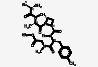 CC[C@H](C)[C@H](N)C(=O)N(C)[C@@H](C)C(=O)N1CC[C@H]1C(=O)N(CC)[C@@H](Cc1ccc(C)cc1)C(=O)N(C)CC(=O)OC(C)(C)C